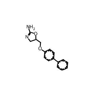 NC1=NCC(COc2ccc(-c3ccccc3)cc2)O1